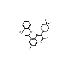 Cc1cc(C(C)Nc2ccccc2C(=O)O)c2nc(N3CCC(F)(F)CC3)c(Cl)nc2c1